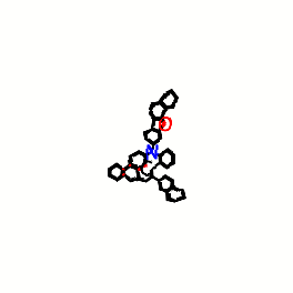 c1ccc(-c2ccc(N(c3ccc4c(c3)oc3c5ccccc5ccc43)c3ccccc3-c3cc4ccccc4cc3-c3ccc4ccccc4c3)cc2)cc1